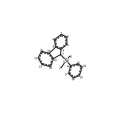 C[Si](C)([C]1c2ccccc2-c2ccccc21)c1ccccc1